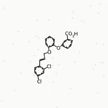 O=C(O)c1cccc(Oc2ccccc2OC/C=C/c2ccc(Cl)cc2Cl)c1